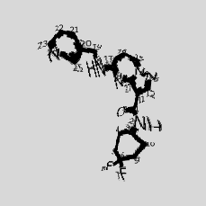 O=C(NC1CCC(F)(F)CC1)c1cnn2ccc(NCc3cccnc3)nc12